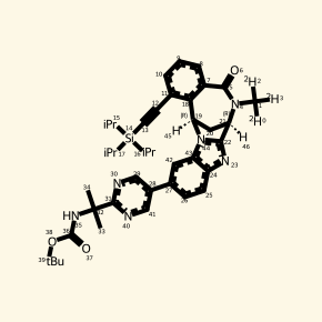 [2H]C([2H])([2H])N1C(=O)c2cccc(C#C[Si](C(C)C)(C(C)C)C(C)C)c2[C@H]2C[C@@H]1c1nc3ccc(-c4cnc(C(C)(C)NC(=O)OC(C)(C)C)nc4)cc3n12